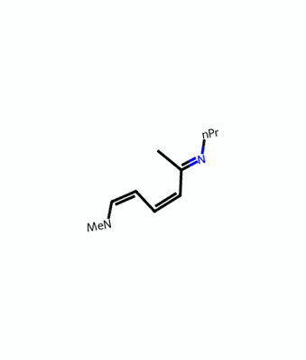 CCC/N=C(C)/C=C\C=C/NC